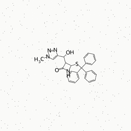 Cn1cc(C(O)C2C(=O)NC2SC(c2ccccc2)(c2ccccc2)c2ccccc2)nn1